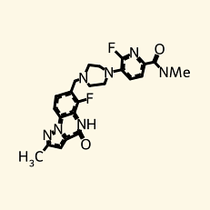 CNC(=O)c1ccc(N2CCN(Cc3ccc4c([nH]c(=O)c5cc(C)nn54)c3F)CC2)c(F)n1